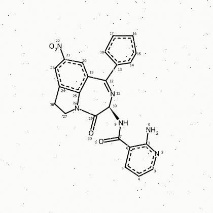 Nc1ncccc1C(=O)N[C@@H]1N=C(c2ccccc2)c2cc([N+](=O)[O-])cc3c2N(CC3)C1=O